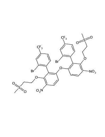 CS(=O)(=O)CCOc1c([N+](=O)[O-])ccc(Oc2ccc([N+](=O)[O-])c(OCCS(C)(=O)=O)c2-c2ccc(C(F)(F)F)cc2Br)c1-c1ccc(C(F)(F)F)cc1Br